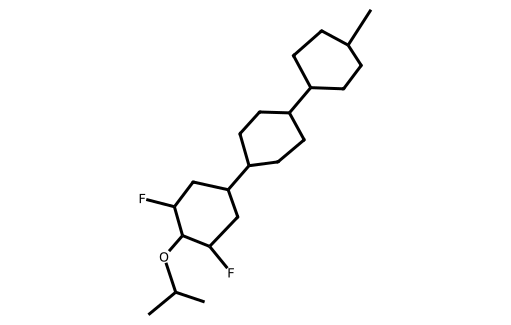 CC1CCC(C2CCC(C3CC(F)C(OC(C)C)C(F)C3)CC2)CC1